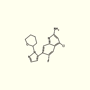 Nc1cc(Cl)c2cc(F)c(-c3ccnn3C3CCCCO3)cc2n1